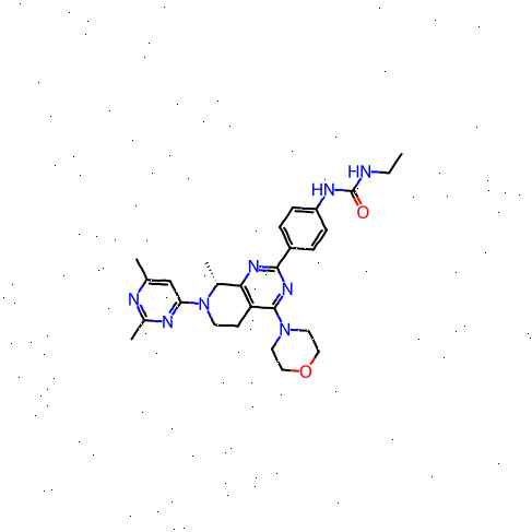 CCNC(=O)Nc1ccc(-c2nc3c(c(N4CCOCC4)n2)CCN(c2cc(C)nc(C)n2)[C@@H]3C)cc1